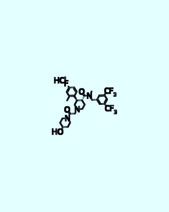 Cc1cc(F)ccc1[C@@H]1CN(CC(=O)N2CCC(O)CC2)CC[C@H]1C(=O)N(C)Cc1cc(C(F)(F)F)cc(C(F)(F)F)c1.Cl